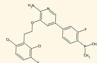 CP(C)c1ccc(-c2cnc(N)c(OCCc3c(Cl)ccc(F)c3Cl)c2)cc1F